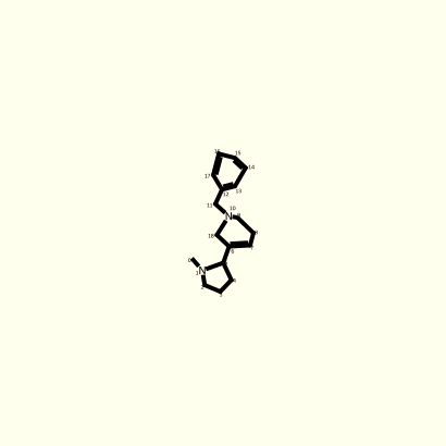 CN1CCCC1C1=CCCN(Cc2ccccc2)C1